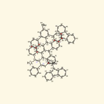 C=C(/C=C(\C(=C(/C)c1ccccc1)N1c2cc(-n3c4ccccc4c4ccccc43)ccc2B2c3ccc(-n4c5ccccc5c5ccccc54)cc3N(c3c(-c4ccccc4)cc(C(C)(C)C)cc3-c3ccccc3)c3cccc1c32)c1ccccc1)C(C)(C)C